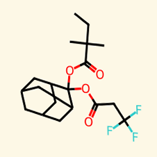 CCC(C)(C)C(=O)OC1(OC(=O)CC(F)(F)F)C2CC3CC(C2)CC1C3